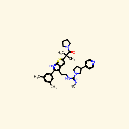 Cc1cc(C)cc(-c2[nH]c3sc(C(C)(C)C(=O)N4CCCC4)cc3c2CCN/C(=N\C#N)N2CCC(c3ccncc3)C2)c1